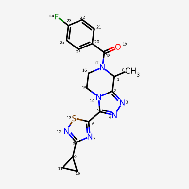 CC1c2nnc(-c3nc(C4CC4)ns3)n2CCN1C(=O)c1ccc(F)cc1